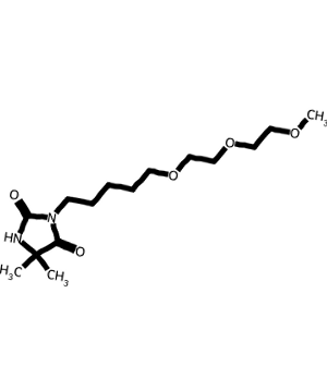 COCCOCCOCCCCCN1C(=O)NC(C)(C)C1=O